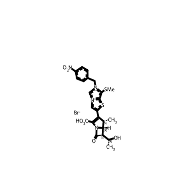 CSc1c2sc(C3=C(C(=O)O)N4C(=O)[C@H]([C@@H](C)O)[C@H]4[C@H]3C)c[n+]2cn1Cc1ccc([N+](=O)[O-])cc1.[Br-]